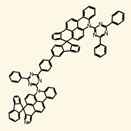 c1ccc(-c2nc(-c3ccccc3)nc(N3c4ccccc4-c4ccc5c6c(ccc3c46)C3(c4ccccc4-c4cc(-c6ccc(-c7nc(-c8ccccc8)nc(N8c9ccccc9-c9ccc%10c%11c(ccc8c9%11)C8(c9ccccc9-c9ccccc98)c8cnccc8-%10)n7)cc6)ccc43)c3ccccc3-5)n2)cc1